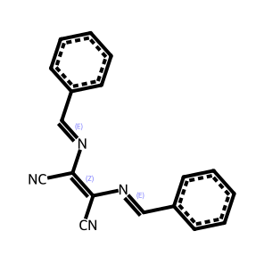 N#CC(/N=C/c1ccccc1)=C(C#N)/N=C/c1ccccc1